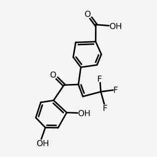 O=C(O)c1ccc(/C(=C\C(F)(F)F)C(=O)c2ccc(O)cc2O)cc1